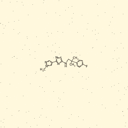 Cn1cc(-c2nsc(NCC(C)(C)c3ccc(F)cc3)n2)cn1